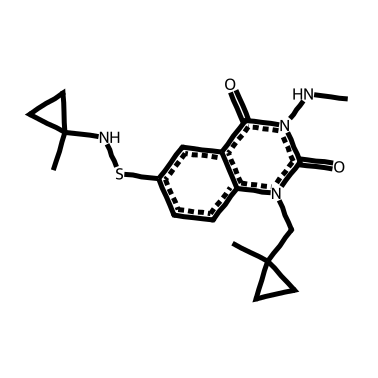 CNn1c(=O)c2cc(SNC3(C)CC3)ccc2n(CC2(C)CC2)c1=O